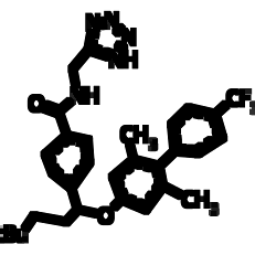 Cc1cc(OC(CCC(C)(C)C)c2ccc(C(=O)NCc3nnn[nH]3)cc2)cc(C)c1-c1ccc(C(F)(F)F)cc1